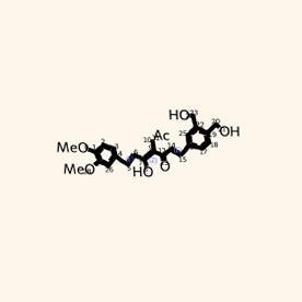 COc1ccc(/C=C/C(O)=C(\CC(C)=O)C(=O)/C=C/c2ccc(CO)c(CO)c2)cc1OC